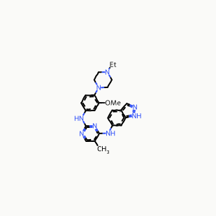 CCN1CCN(c2ccc(Nc3ncc(C)c(Nc4ccc5cn[nH]c5c4)n3)cc2OC)CC1